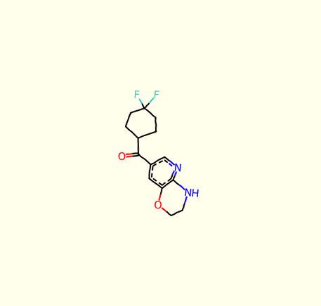 O=C(c1cnc2c(c1)OCCN2)C1CCC(F)(F)CC1